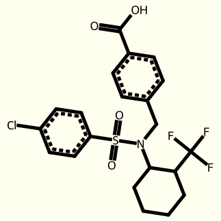 O=C(O)c1ccc(CN(C2CCCCC2C(F)(F)F)S(=O)(=O)c2ccc(Cl)cc2)cc1